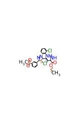 CSCOC(=O)C(=N)/C(Cl)=C(\Nc1ccccc1Cl)c1nnc(-c2cccc(S(C)(=O)=O)c2)s1